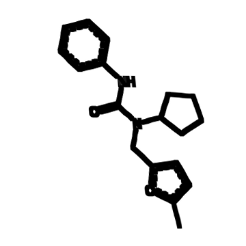 Cc1ccc(CN(C(=O)Nc2ccccc2)C2CCCC2)o1